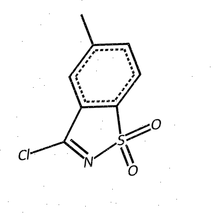 Cc1ccc2c(c1)C(Cl)=NS2(=O)=O